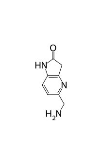 NCc1ccc2c(n1)CC(=O)N2